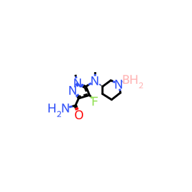 BN1CCC[C@H](N(C)c2c(F)c(C(N)=O)nn2C)C1